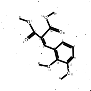 COC(=O)C(=Cc1cccc(OC)c1OC)C(=O)OC